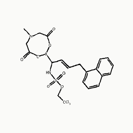 CN1CC(=O)OB(C(/C=C/Cc2cccc3ccccc23)NS(=O)(=O)OCC(Cl)(Cl)Cl)OC(=O)C1